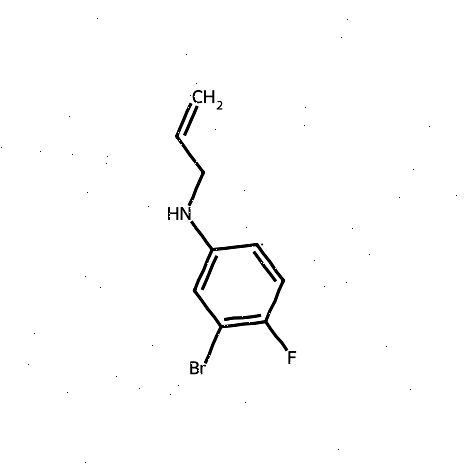 C=CCNc1[c]cc(F)c(Br)c1